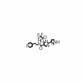 O=C(NCCc1ccncc1)c1cnc(-c2cc[nH]n2)nc1OC(=O)C(F)(F)F